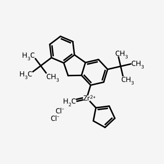 [CH2]=[Zr+2]([C]1=CC=CC1)[c]1cc(C(C)(C)C)cc2c1Cc1c-2cccc1C(C)(C)C.[Cl-].[Cl-]